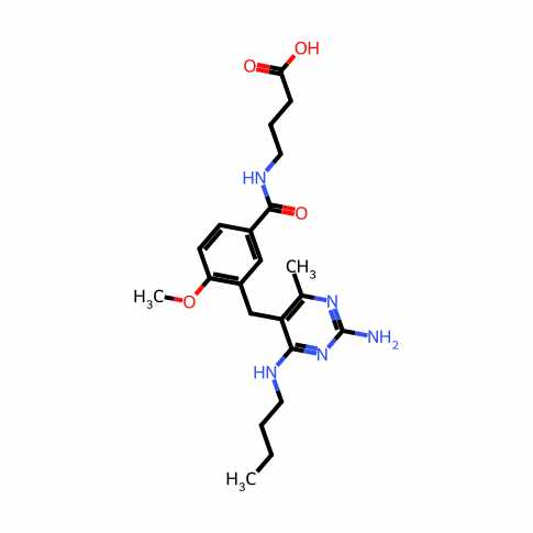 CCCCNc1nc(N)nc(C)c1Cc1cc(C(=O)NCCCC(=O)O)ccc1OC